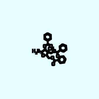 B[C@@H]1OC(COC(=O)c2ccccc2)[C@](C)(COC(=O)c2ccccc2)[C@H]1OC(=O)c1ccccc1